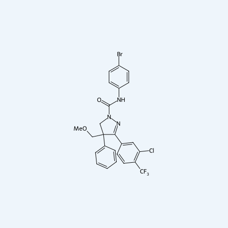 COCC1(c2ccccc2)CN(C(=O)Nc2ccc(Br)cc2)N=C1c1ccc(C(F)(F)F)c(Cl)c1